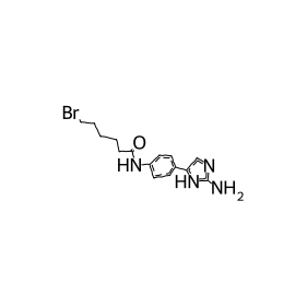 Nc1ncc(-c2ccc(NC(=O)CCCCCBr)cc2)[nH]1